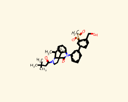 CC(C)C1N(C(=O)CC(C)(C)C)CCC12C(=O)N(c1cccc(-c3ccc(CO)c(S(C)(=O)=O)c3)c1)c1ccccc12